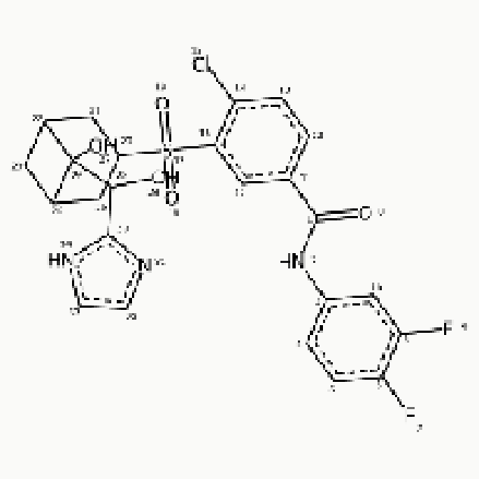 O=C(Nc1ccc(F)c(F)c1)c1ccc(Cl)c(S(=O)(=O)C2CC3CC(C2)C3(O)C(O)c2ncc[nH]2)c1